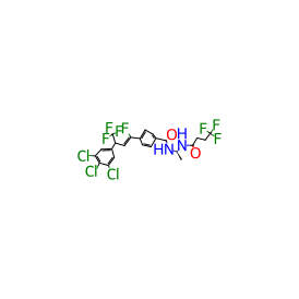 C[C@H](NC(=O)CCC(F)(F)F)NC(=O)c1ccc(/C(F)=C/C(c2cc(Cl)c(Cl)c(Cl)c2)C(F)(F)F)cc1